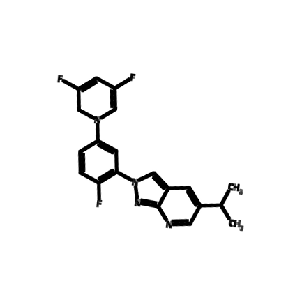 CC(C)c1cnc2nn(-c3cc(N4C=C(F)C=C(F)C4)ccc3F)cc2c1